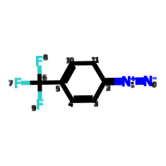 [N-]=[N+]=C1C=CC(C(F)(F)F)=CC1